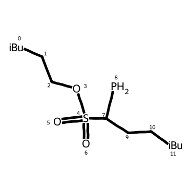 CCC(C)CCOS(=O)(=O)C(P)CCC(C)CC